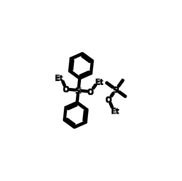 CCO[Si](C)(C)C.CCO[Si](OCC)(c1ccccc1)c1ccccc1